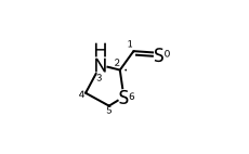 S=C[C]1NCCS1